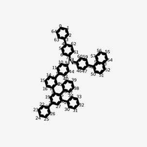 c1ccc(-c2ccc(N(c3ccc(-c4cccc(-c5cc(-c6ccccc6)cc(-c6ccccc6)c5-c5ccccc5)c4)cc3)c3ccc(-c4cccc5ccccc45)cc3)cc2)cc1